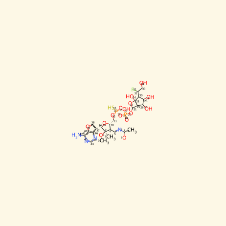 CO[C@]1(C)C(/C=N/C(C)=O)[C@@H](COP(=O)(S)OP(=O)(O)OC2OC3(O)C2C(O)C(O)C3[C@@H](F)CO)O[C@H]1c1coc2c(N)ncnc12